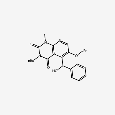 CCCCn1c(=O)c2c(C(O)c3ccccc3)c(OC(C)C)cnc2n(C)c1=O